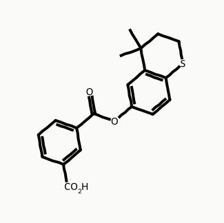 CC1(C)CCSc2ccc(OC(=O)c3cccc(C(=O)O)c3)cc21